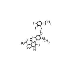 COc1cc(-n2c(=O)[nH]c3csc(C(=O)O)c3c2=O)c(F)cc1OCCc1c(OC)ccc(F)c1F